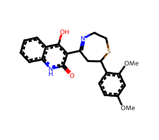 COc1ccc(C2CC(c3c(O)c4ccccc4[nH]c3=O)=NCCS2)c(OC)c1